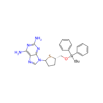 CC(C)(C)[Si](OC[C@@H]1CCC(n2cnc3c(N)nc(N)nc32)S1)(c1ccccc1)c1ccccc1